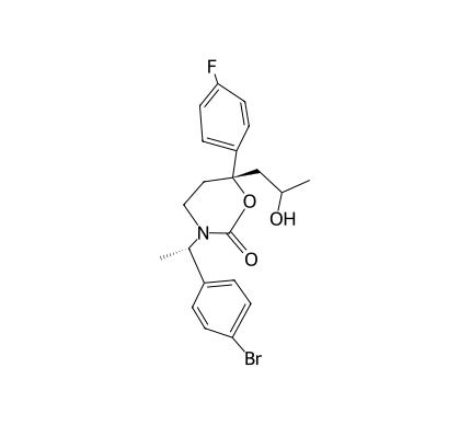 CC(O)C[C@]1(c2ccc(F)cc2)CCN([C@@H](C)c2ccc(Br)cc2)C(=O)O1